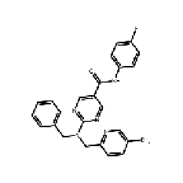 Bc1ccc(CN(Cc2ccccc2)c2ncc(C(=O)Nc3ccc(F)cc3)cn2)nc1